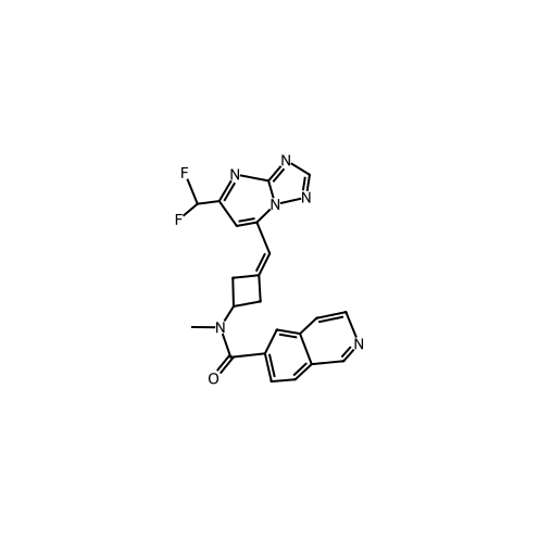 CN(C(=O)c1ccc2cnccc2c1)C1CC(=Cc2cc(C(F)F)nc3ncnn23)C1